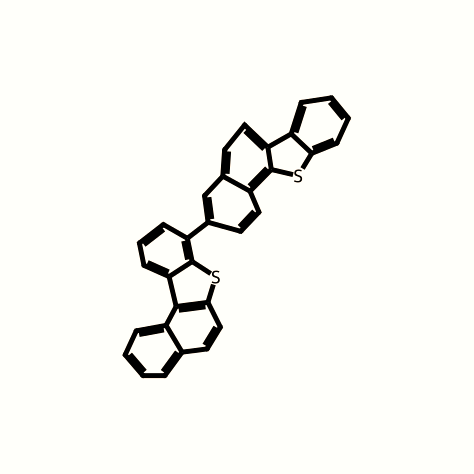 c1ccc2c(c1)ccc1sc3c(-c4ccc5c(ccc6c7ccccc7sc56)c4)cccc3c12